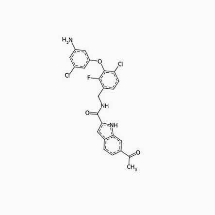 CC(=O)c1ccc2cc(C(=O)NCc3ccc(Cl)c(Oc4cc(N)cc(Cl)c4)c3F)[nH]c2c1